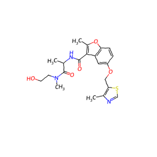 Cc1ncsc1COc1ccc2oc(C)c(C(=O)NC(C)C(=O)N(C)CCO)c2c1